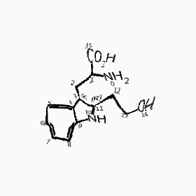 NC(C[C@@H]1c2ccccc2N[C@@H]1CCO)C(=O)O